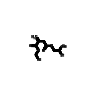 C=C(CC(=O)OCC(CC)CCCC)C(=O)OCC(C)=O